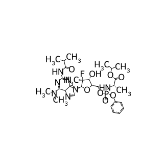 CC(C)OC(=O)[C@H](C)N[P@](=O)(OC[C@H]1O[C@@H](N2C=NC3C(N(C)C)=NC(NC(=O)C(C)C)=NC32)[C@](C)(F)[C@@H]1O)Oc1ccccc1